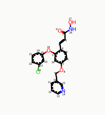 O=C(/C=C/c1ccc(OCc2cccnc2)cc1Oc1cccc(Cl)c1)NO